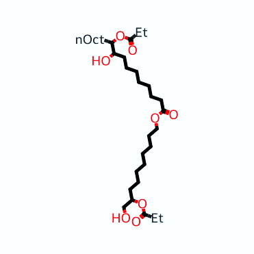 CCCCCCCCC(OC(=O)CC)C(O)CCCCCCCC(=O)OCCCCCCCCC(CO)OC(=O)CC